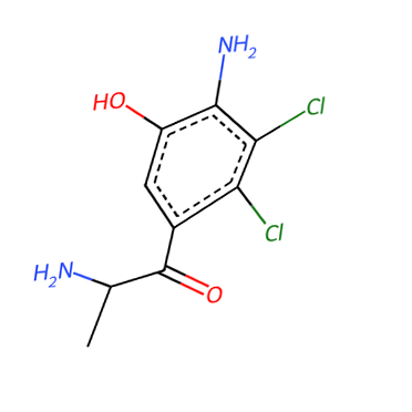 CC(N)C(=O)c1cc(O)c(N)c(Cl)c1Cl